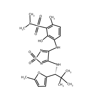 Cc1ccc([C@H](NC2=NS(=O)(=O)N=C2Nc2ccc(C)c(S(=O)(=O)N(C)C)c2O)C(C)(C)C)o1